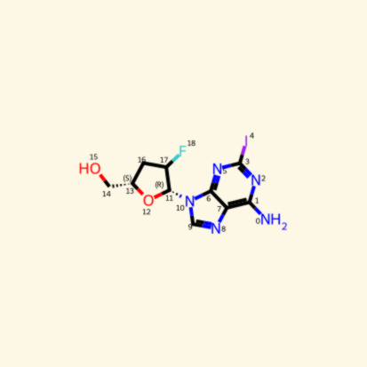 Nc1nc(I)nc2c1ncn2[C@@H]1O[C@H](CO)CC1F